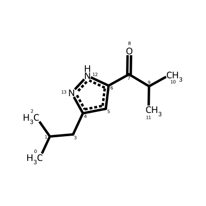 CC(C)Cc1cc(C(=O)C(C)C)[nH]n1